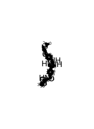 CC(C)CN(C)CCOc1ccc(NC2NCC(c3ccc(C(=O)NCC(=O)OC(C)(C)C)cc3)CN2)cc1